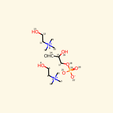 C[N+](C)(C)CCO.C[N+](C)(C)CCO.O=CC(O)COP(=O)([O-])[O-]